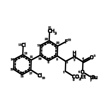 CCOC(=O)CC(NC(=O)OC(C)(C)C)c1cc(-c2c(Cl)cccc2Cl)cc(C)c1F